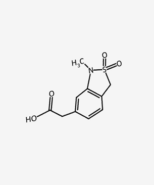 CN1c2cc(CC(=O)O)ccc2CS1(=O)=O